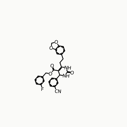 N#Cc1cccc(C2NC(=O)NC(CCc3ccc4c(c3)OCO4)=C2C(=O)OCc2cccc(F)c2)c1